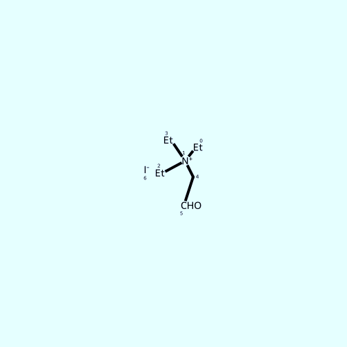 CC[N+](CC)(CC)CC=O.[I-]